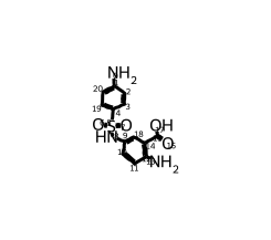 Nc1ccc(S(=O)(=O)Nc2ccc(N)c(C(=O)O)c2)cc1